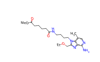 CCOCc1nc2c(N)ncc(C)c2n1CCCCNC(=O)CCCCC(=O)OC